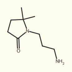 CC1(C)CCC(=O)N1CCCN